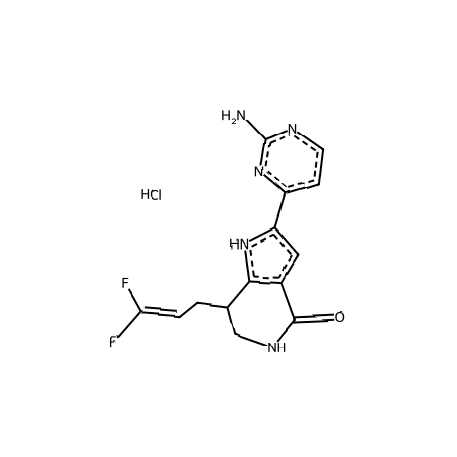 Cl.Nc1nccc(-c2cc3c([nH]2)C(CC=C(F)F)CNC3=O)n1